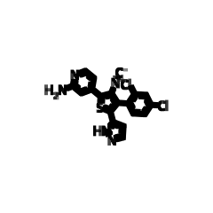 [C-]#[N+]c1c(-c2ccnc(N)c2)sc(-c2ccn[nH]2)c1-c1ccc(Cl)cc1Cl